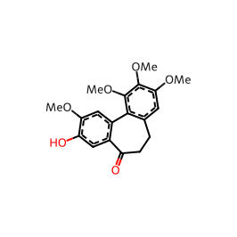 COc1cc2c(cc1O)C(=O)CCc1cc(OC)c(OC)c(OC)c1-2